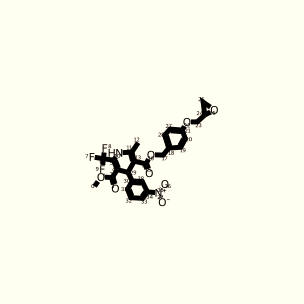 COC(=O)C1=C(C(F)(F)F)NC(C)=C(C(=O)OCc2ccc(OCC3CO3)cc2)C1c1cccc([N+](=O)[O-])c1